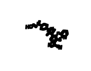 Cc1c(-c2cc(Sc3ncccc3F)c3c(C#N)cnn3c2)cnn1[C@H]1CC[C@H](N(C)CCO)CC1